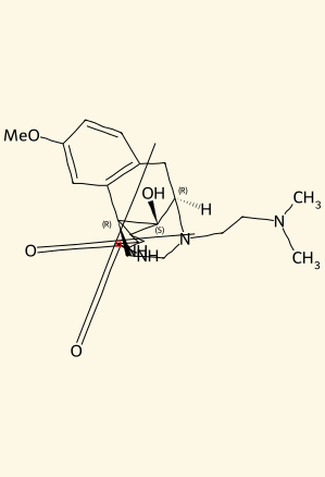 COc1ccc2c(c1)[C@]13CCN(CCN(C)C)[C@H](C2)[C@]1(O)CCCNC(=O)NC(=O)C3